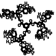 CCCCC(CCCOC(=O)c1cc(C(=O)OCCCC(CCCC)(C(=O)OC2CC[N+](C)([O-])C(C)(C)C2C)C(=O)OC2CC[N+](C)([O-])C(C)(C)C2C)cc(C(=O)OCCCC(CCCC)(C(=O)OC2CC[N+](C)([O-])C(C)(C)C2C)C(=O)OC2CC[N+](C)([O-])C(C)(C)C2C)c1)(C(=O)OC1CC[N+](C)([O-])C(C)(C)C1C)C(=O)OC1CC[N+](C)([O-])C(C)(C)C1C